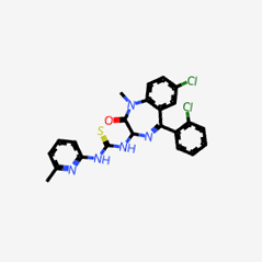 Cc1cccc(NC(=S)NC2N=C(c3ccccc3Cl)c3cc(Cl)ccc3N(C)C2=O)n1